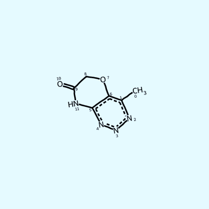 Cc1nnnc2c1OCC(=O)N2